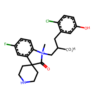 C[N+]1(CC(Cc2cc(O)ccc2Cl)C(=O)O)C(=O)C2(CCNCC2)c2cc(F)ccc21